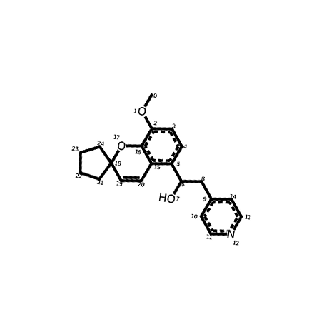 COc1ccc(C(O)Cc2ccncc2)c2c1OC1(C=C2)CCCC1